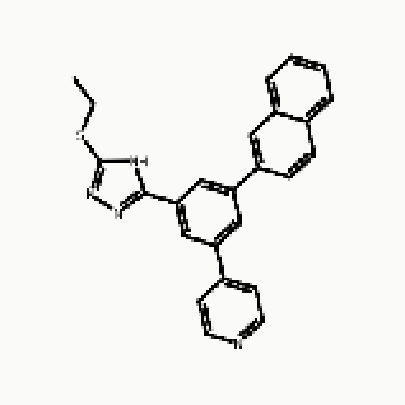 CCSc1nnc(-c2cc(-c3ccncc3)cc(-c3ccc4ccccc4c3)c2)[nH]1